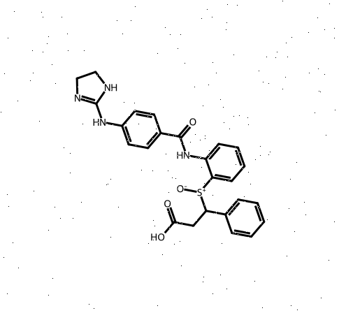 O=C(O)CC(c1ccccc1)[S+]([O-])c1ccccc1NC(=O)c1ccc(NC2=NCCN2)cc1